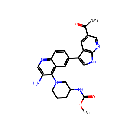 CNC(=O)c1cnc2[nH]cc(-c3ccc4ncc(N)c(N5CCCC(NC(=O)OC(C)(C)C)C5)c4c3)c2c1